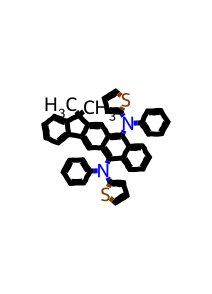 CC1(C)c2ccccc2-c2cc3c(N(c4ccccc4)c4cccs4)c4ccccc4c(N(c4ccccc4)c4cccs4)c3cc21